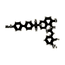 COc1ccc(-c2ccc(S(=O)(=O)N3CCc4c(ccc(Cl)c4NC(=O)Cc4cccc(C(F)(F)F)c4F)C3)cc2)cc1